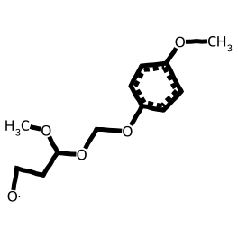 COc1ccc(OCOC(CC[O])OC)cc1